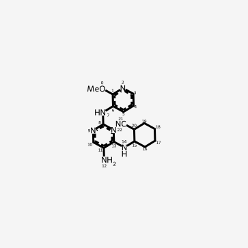 COc1ncccc1Nc1ncc(N)c(NC2CCCCC2C#N)n1